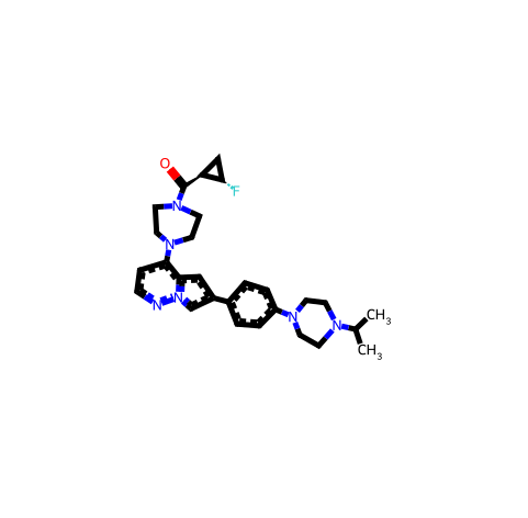 CC(C)N1CCN(c2ccc(-c3cc4c(N5CCN(C(=O)[C@H]6C[C@@H]6F)CC5)ccnn4c3)cc2)CC1